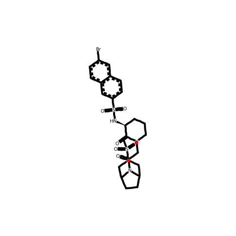 CS(=O)(=O)N1CC2CCC(C1)N2C(=O)CN1CCC[C@H](NS(=O)(=O)c2ccc3cc(Br)ccc3c2)C1=O